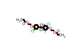 C=CC(=O)OCCOc1ccc(C(C)(C)c2ccc(OCCOC(=O)C=C)c(Cl)c2)cc1Cl